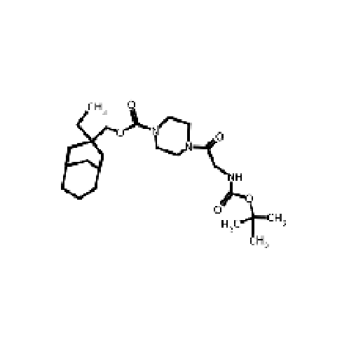 CCC1(COC(=O)N2CCN(C(=O)CNC(=O)OC(C)(C)C)CC2)CC2CCCC(C2)C1